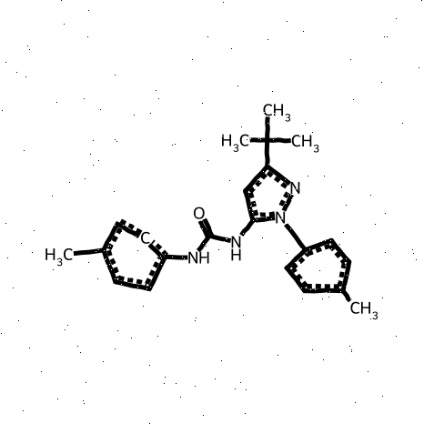 Cc1ccc(NC(=O)Nc2cc(C(C)(C)C)nn2-c2ccc(C)cc2)cc1